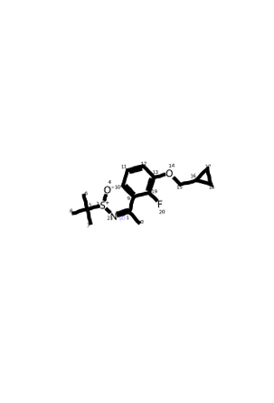 C/C(=N/[S+]([O-])C(C)(C)C)c1cccc(OCC2CC2)c1F